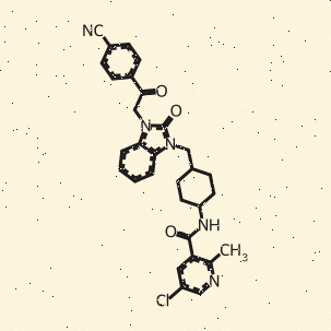 Cc1ncc(Cl)cc1C(=O)NC1CCC(Cn2c(=O)n(CC(=O)c3ccc(C#N)cc3)c3ccccc32)CC1